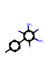 Cc1ccc(-c2c(I)c(N)c(I)c(N)c2I)cc1